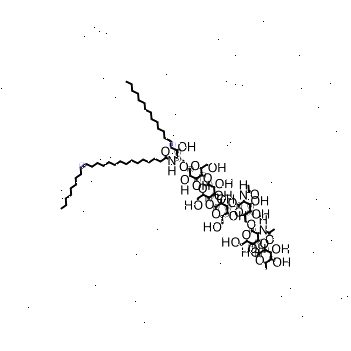 CCCCCCCC/C=C\CCCCCCCCCCCCCC(=O)N[C@@H](CO[C@@H]1OC(CO)[C@@H](O[C@@H]2OC(CO)[C@H](O[C@@H]3OC(CO)[C@H](O)[C@H](O[C@@H]4OC(CO[C@@H]5OC(CO)[C@@H](O)[C@H](O[C@H]6C(O)[C@H](O)C(C)O[C@H]6O)C5NC(C)=O)[C@H](O)[C@H](O)C4NC(C)=O)C3O)[C@H](O)C2O)[C@H](O)C1O)[C@H](O)/C=C/CCCCCCCCCCCCC